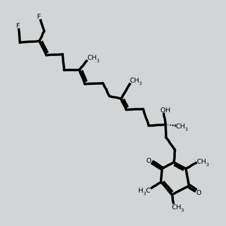 CC1=C(C)C(=O)C(CC[C@](C)(O)CC/C=C(\C)CC/C=C(\C)CCC=C(CF)CF)=C(C)C1=O